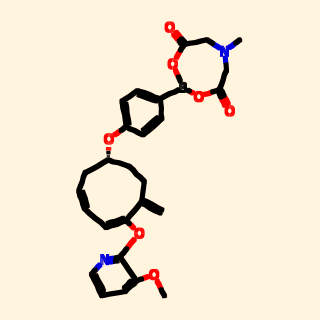 C=C1CC[C@@H](Oc2ccc(B3OC(=O)CN(C)CC(=O)O3)cc2)C/C=C\C=C/1Oc1ncccc1OC